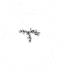 C[C@H]1C[C@@](CF)(COP(=O)(OCOC(=O)OC2COC2)OCOC(=O)OC2COC2)O[C@H]1n1ccc(=O)[nH]c1=O